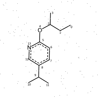 CCC(C)Oc1ccc(C(C)C)cn1